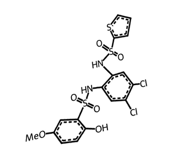 COc1ccc(O)c(S(=O)(=O)Nc2cc(Cl)c(Cl)cc2NS(=O)(=O)c2cccs2)c1